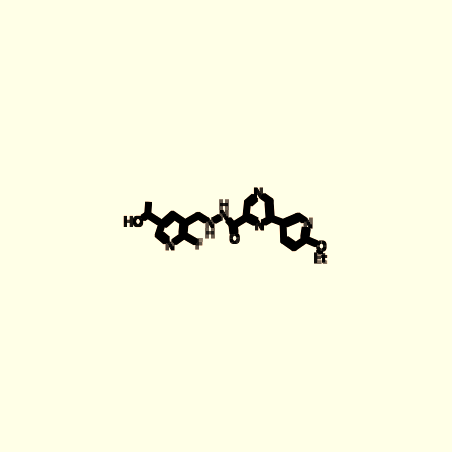 CCOc1ccc(-c2cncc(C(=O)NNCc3cc(C(C)O)cnc3F)n2)cn1